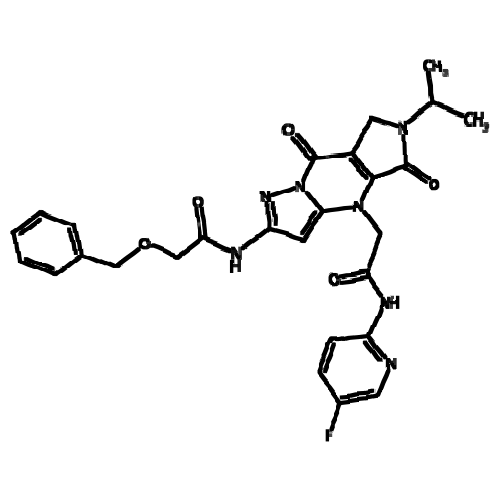 CC(C)N1Cc2c(n(CC(=O)Nc3ccc(F)cn3)c3cc(NC(=O)COCc4ccccc4)nn3c2=O)C1=O